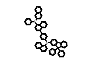 c1ccc(N(c2ccc3ccccc3c2)c2ccc(-c3ccc(N(c4ccc5c(c4)C(c4ccccc4)(c4ccccc4)c4ccccc4-5)c4cccc5ccccc45)cc3)c3ccccc23)cc1